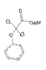 COC(=O)C(Cl)(Cl)Oc1ccccc1